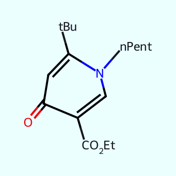 CCCCCn1cc(C(=O)OCC)c(=O)cc1C(C)(C)C